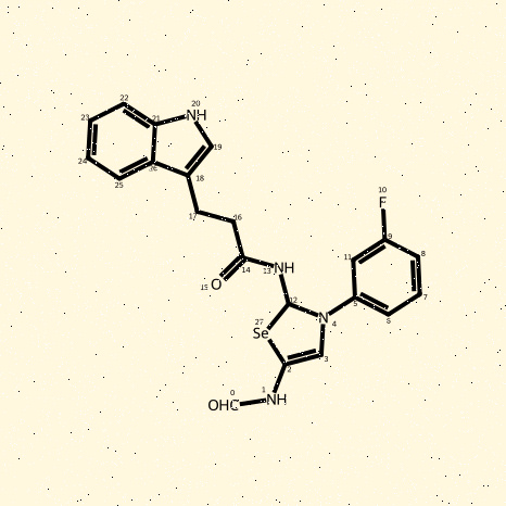 O=CNC1=CN(c2cccc(F)c2)C(NC(=O)CCc2c[nH]c3ccccc23)[Se]1